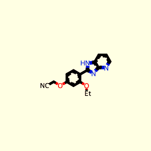 CCOc1cc(OCC#N)ccc1-c1nc2ncccc2[nH]1